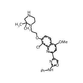 COc1cc(-c2coc(NC(C)C)n2)nc2c(Cl)c(OCCN3CCNCC3(C)C)ccc12